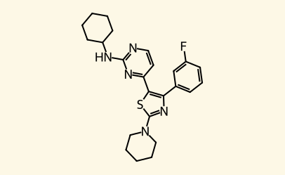 Fc1cccc(-c2nc(N3CCCCC3)sc2-c2ccnc(NC3CCCCC3)n2)c1